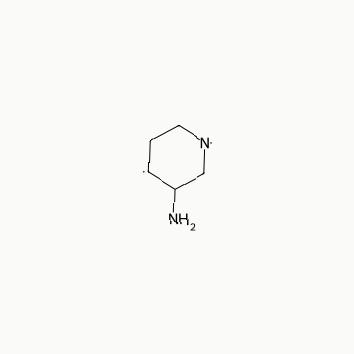 NC1[CH]CC[N]C1